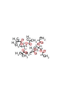 C=C(C)C(=O)OCC(CC)(COC(=O)C(=C)C)COC(=O)C(=C)C.C=CC(=O)OCC(CC)(COC(=O)C=C)COC(=O)C=C